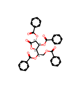 O=C(OC[C@@H](OC(=O)c1ccccc1)[C@H]1OC(=O)[C@H](OC(=O)c2ccccc2)[C@H]1OC(=O)c1ccccc1)c1ccccc1